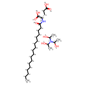 CC(O)N(C(C)O)C(C)O.CCCCCCCCCCCCCCCCCC(=O)N[C@@H](CCC(=O)O)C(=O)O